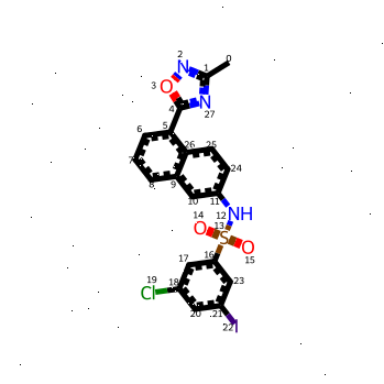 Cc1noc(-c2cccc3cc(NS(=O)(=O)c4cc(Cl)cc(I)c4)ccc23)n1